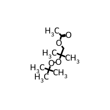 CC(=O)OCC(C)(C)OOC(C)(C)C